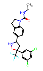 CCNC(=O)N1CCc2cc(C3CC(c4cc(Cl)cc(Cl)c4)(C(F)(F)F)ON3)ccc21